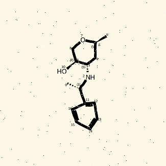 C[C@H](N[C@H]1C[C@H](C)OC[C@@H]1O)c1ccccc1